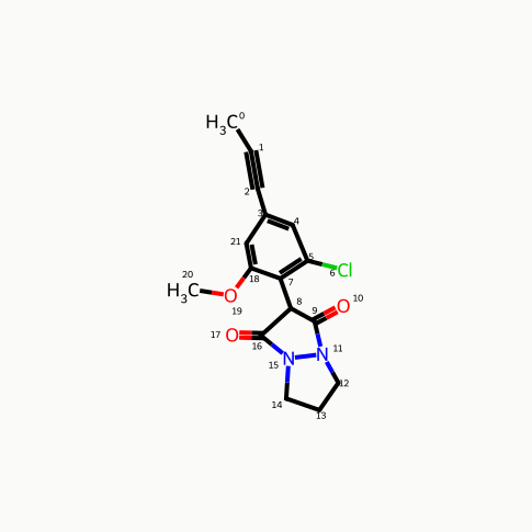 CC#Cc1cc(Cl)c(C2C(=O)N3CCCN3C2=O)c(OC)c1